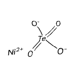 O=[Te](=O)([O-])[O-].[Ni+2]